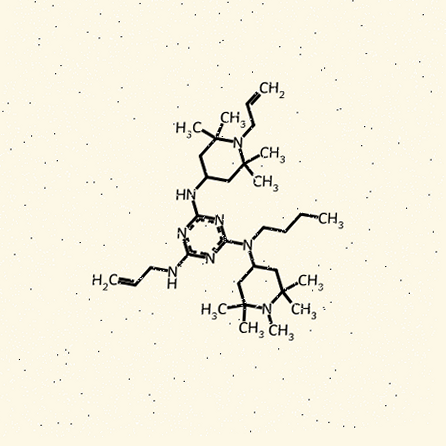 C=CCNc1nc(NC2CC(C)(C)N(CC=C)C(C)(C)C2)nc(N(CCCC)C2CC(C)(C)N(C)C(C)(C)C2)n1